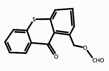 O=COCc1cccc2sc3ccccc3c(=O)c12